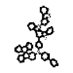 c1ccc(-c2ccc(N(c3ccc(-c4cc5c6ccccc6n(-c6ccc7sc8ccccc8c7c6)c5c5c4sc4ccccc45)cc3)c3ccc4c(c3)C3(c5ccccc5-c5ccccc53)c3ccccc3-4)cc2)cc1